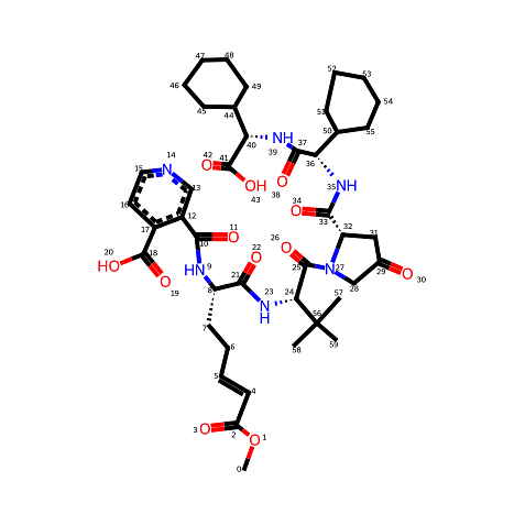 COC(=O)/C=C/CC[C@H](NC(=O)c1cnccc1C(=O)O)C(=O)N[C@H](C(=O)N1CC(=O)C[C@H]1C(=O)N[C@H](C(=O)N[C@H](C(=O)O)C1CCCCC1)C1CCCCC1)C(C)(C)C